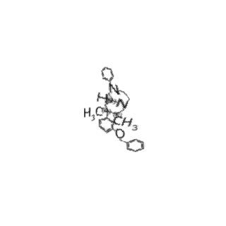 C[C@H]1CN2CCN(c3ccccc3)C[C@H]2C[C@@]1(C)c1cccc(OCc2ccccc2)c1